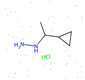 CC(NN)C1CC1.Cl